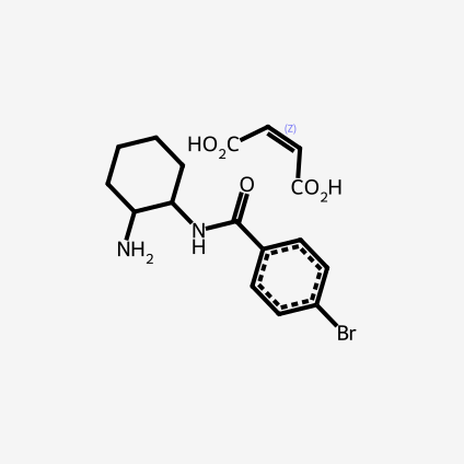 NC1CCCCC1NC(=O)c1ccc(Br)cc1.O=C(O)/C=C\C(=O)O